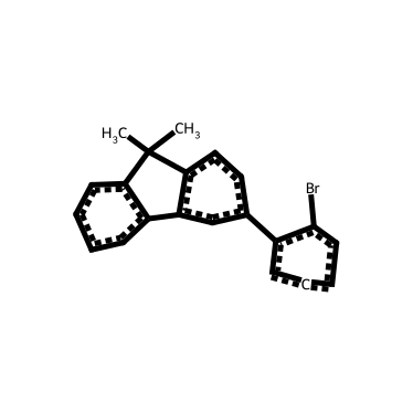 CC1(C)c2ccccc2-c2cc(-c3ccccc3Br)ccc21